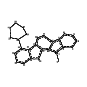 Cn1c2ccccc2c2ccc3c(sc4cccc(C5CCCCC5)c43)c21